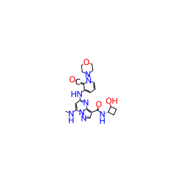 CNc1cc(NC2=CC=CN(N3CCOCC3)C2=C=O)nc2c(C(=O)N[C@H]3CC[C@@H]3O)cnn12